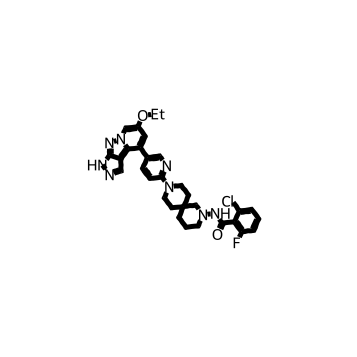 CCOc1cc(-c2ccc(N3CCC4(CCCN(NC(=O)c5c(F)cccc5Cl)C4)CC3)nc2)c2c3cn[nH]c3nn2c1